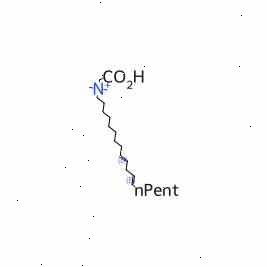 CCCCC/C=C/C/C=C/CCCCCCCC[N+](C)(C)CC(=O)O